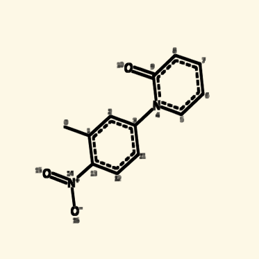 Cc1cc(-n2ccccc2=O)ccc1[N+](=O)[O-]